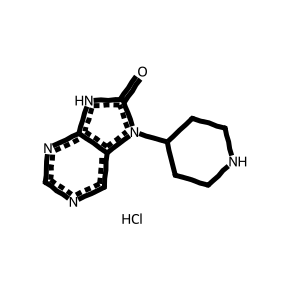 Cl.O=c1[nH]c2ncncc2n1C1CCNCC1